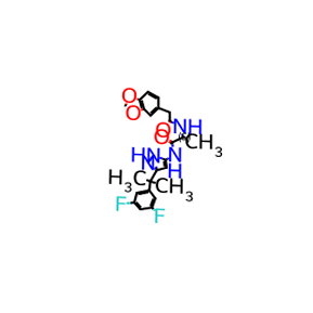 C[C@H](NC(=O)Cc1ccc2c(c1)OCO2)C(=O)Nc1cc(C(C)(C)c2cc(F)cc(F)c2)n[nH]1